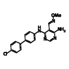 CON=Cc1c(N)ncnc1Nc1ccc(-c2ccc(Cl)cc2)cc1